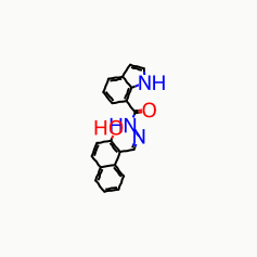 O=C(N/N=C\c1c(O)ccc2ccccc12)c1cccc2cc[nH]c12